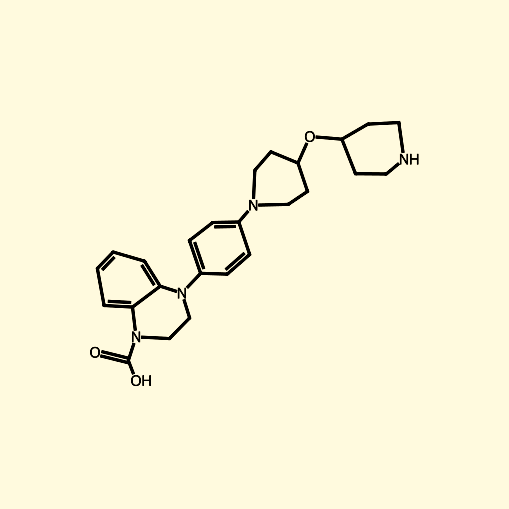 O=C(O)N1CCN(c2ccc(N3CCC(OC4CCNCC4)CC3)cc2)c2ccccc21